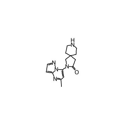 Cc1cc(N2CC3(CCNCC3)CC2=O)n2nccc2n1